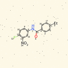 CCc1ccc(C(=O)Nc2ccc(F)c([N+](=O)[O-])c2)cc1